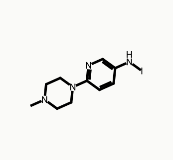 CN1CCN(c2ccc(NI)cn2)CC1